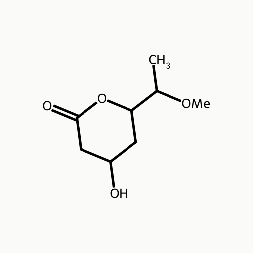 COC(C)C1CC(O)CC(=O)O1